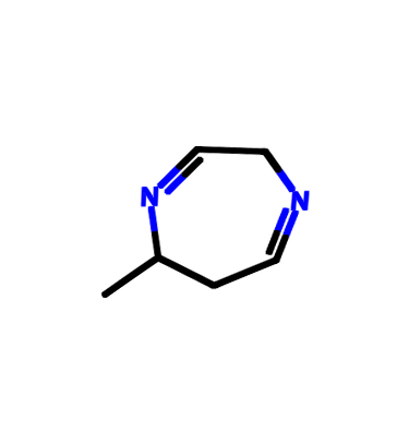 CC1CC=NCC=N1